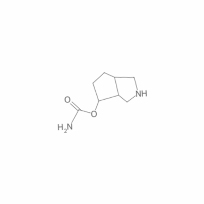 NC(=O)OC1CCC2CNCC21